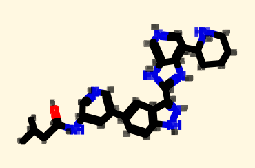 CC(C)CC(=O)Nc1cncc(-c2ccc3[nH]nc(-c4nc5c(C6CCCCN6)cncc5[nH]4)c3c2)c1